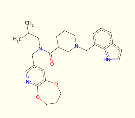 CC(C)CN(Cc1cnc2c(c1)OCCCO2)C(=O)C1CCCN(Cc2cccc3cc[nH]c23)C1